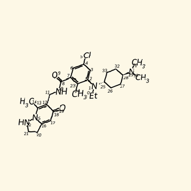 CCN(c1cc(Cl)cc(C(=O)NCc2c(C)n3c(cc2=O)CCN3)c1C)[C@H]1CC[C@H](N(C)C)CC1